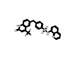 O=c1cc(C(F)(F)F)c2cc(Cc3ccc(S(=O)(=O)Nc4cccc5cccnc45)cc3)ccc2[nH]1